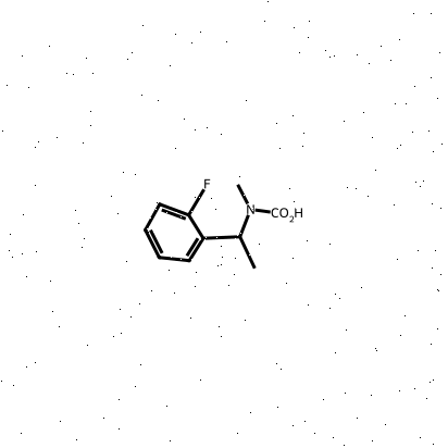 CC(c1ccccc1F)N(C)C(=O)O